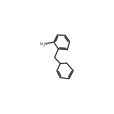 Nc1ccccc1C[C]1C=CC=CC1